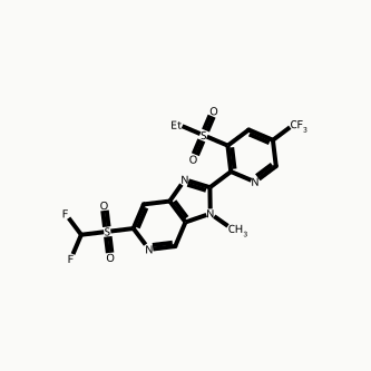 CCS(=O)(=O)c1cc(C(F)(F)F)cnc1-c1nc2cc(S(=O)(=O)C(F)F)ncc2n1C